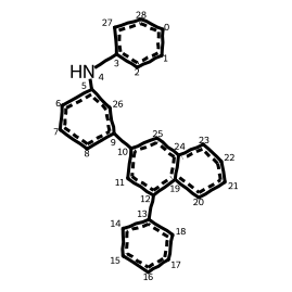 c1ccc(Nc2cccc(-c3cc(-c4ccccc4)c4ccccc4c3)c2)cc1